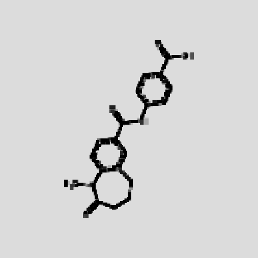 CN1C(=O)CCCc2cc(C(=O)Nc3ccc(C(=O)O)cc3)ccc21